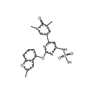 Cc1cc2c(Oc3nc(NS(=O)(=O)C(C)C)cc(-c4cc(C)c(=O)n(C)c4)n3)cccc2o1